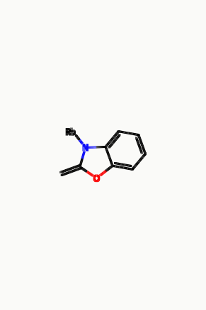 C=C1Oc2ccccc2[N]1[Rb]